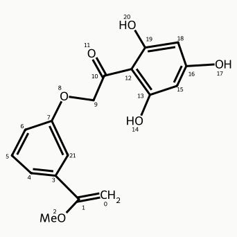 C=C(OC)c1cccc(OCC(=O)c2c(O)cc(O)cc2O)c1